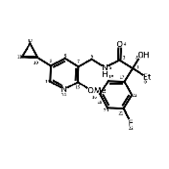 CCC(O)(C(=O)NCc1cc(C2CC2)cnc1OC)c1cccc(F)c1